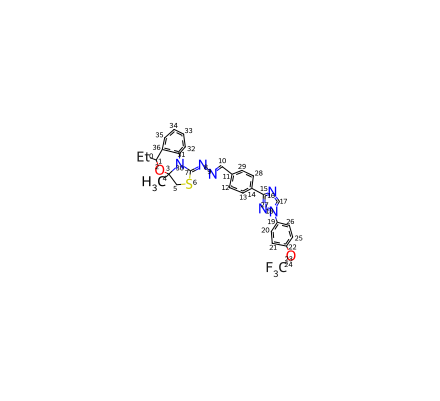 CCC1OC2(C)CS/C(=N\N=C\c3ccc(-c4ncn(-c5ccc(OC(F)(F)F)cc5)n4)cc3)N2c2ccccc21